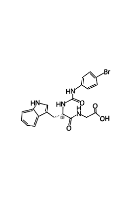 O=C(O)CNC(=O)[C@H](Cc1c[nH]c2ccccc12)NC(=O)Nc1ccc(Br)cc1